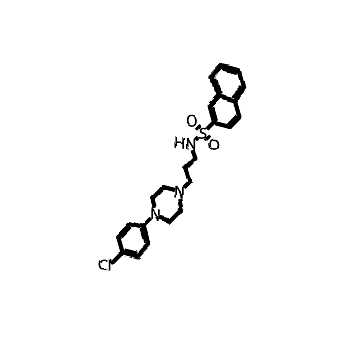 O=S(=O)(NCCCN1CCN(c2ccc(Cl)cc2)CC1)c1ccc2ccccc2c1